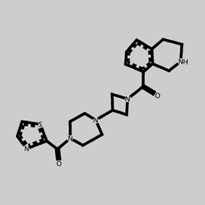 O=C(c1nccs1)N1CCN(C2CN(C(=O)c3cccc4c3CNCC4)C2)CC1